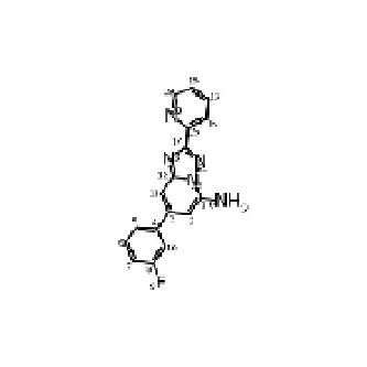 Nc1cc(-c2cccc(F)c2)cc2nc(-c3ccccn3)nn12